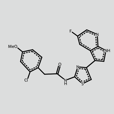 COc1ccc(CC(=O)Nc2nc(-c3c[nH]c4ncc(F)cc34)cs2)c(Cl)c1